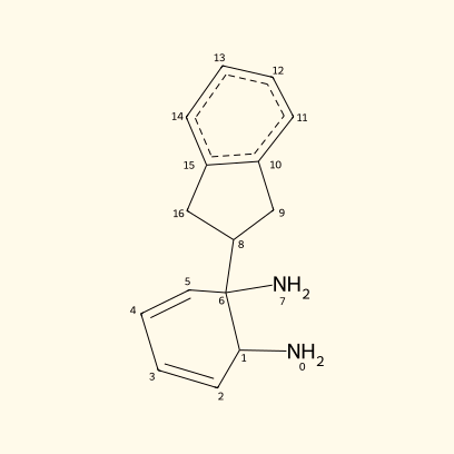 NC1C=CC=CC1(N)C1Cc2ccccc2C1